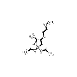 CCO[Si](CCSCCO[SiH3])(OCC)OCC